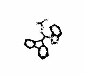 O=C(O)OOC(C1c2ccccc2-c2ccccc21)n1nnc2ccccc21